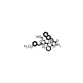 COc1cccc(CC(=O)N[C@@H](CSCO)C(=O)N2CCCC[C@H]2C(=O)N[C@@H](Cc2ccc3ccccc3c2)C(N)=O)c1